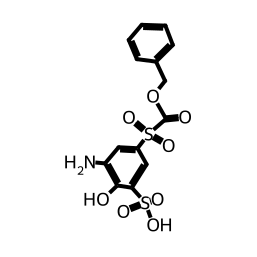 Nc1cc(S(=O)(=O)C(=O)OCc2ccccc2)cc(S(=O)(=O)O)c1O